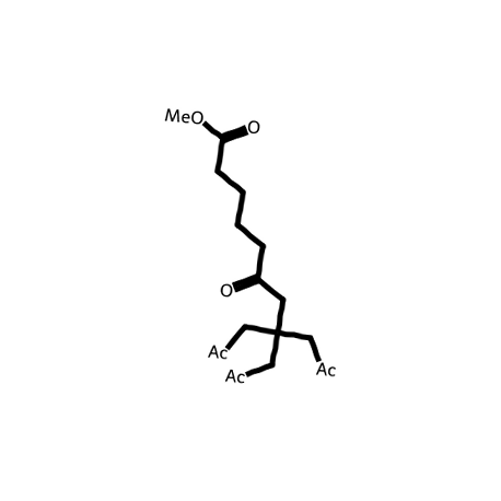 COC(=O)CCCCC(=O)CC(CC(C)=O)(CC(C)=O)CC(C)=O